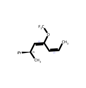 C/C=C\C(=C/[C@@H](C)C(C)C)OC(F)(F)F